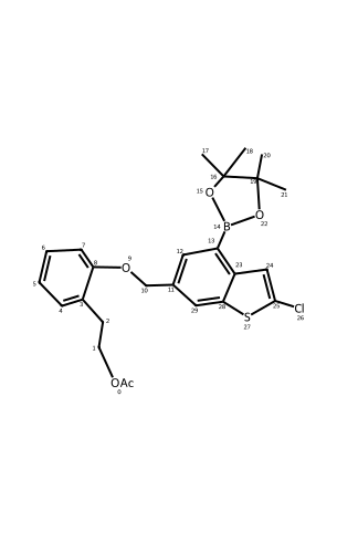 CC(=O)OCCc1ccccc1OCc1cc(B2OC(C)(C)C(C)(C)O2)c2cc(Cl)sc2c1